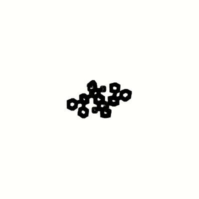 O=c1c2ccccc2n(-c2ccc(C3CCCCC3)c(C3CCCCC3)c2)c2cc3c(=O)c4ccccc4n(-c4ccc(C5CCCCC5)c(C5CCCCC5)c4)c3cc12